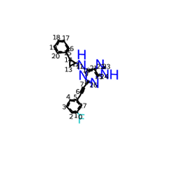 Fc1cccc(C#Cc2nc(NC3CC3c3ccccc3)c3nc[nH]c3n2)c1